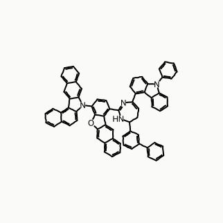 C1=C(c2cccc3c2c2ccccc2n3-c2ccccc2)N=C(c2ccc(-n3c4cc5ccccc5cc4c4c5ccccc5ccc43)c3oc4cc5ccccc5cc4c23)NC(c2cccc(-c3ccccc3)c2)C1